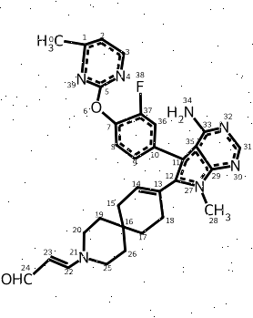 Cc1ccnc(Oc2ccc(-c3c(C4=CCC5(CC4)CCN(C=CC=O)CC5)n(C)c4ncnc(N)c34)cc2F)n1